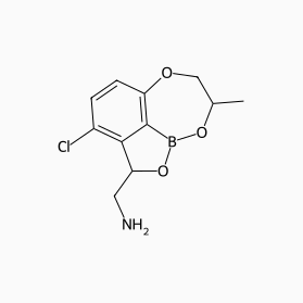 CC1COc2ccc(Cl)c3c2B(O1)OC3CN